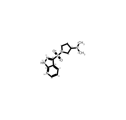 CN(C)C1CCN(S(=O)(=O)c2n[nH]c3ncccc23)C1